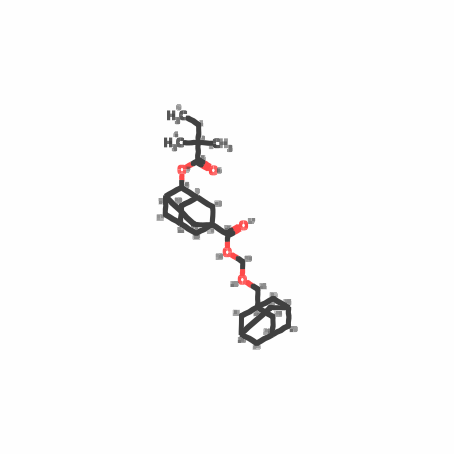 CCC(C)(C)C(=O)OC1C2CC3CC1CC(C(=O)OCOCC14CC5CC(CC(C5)C1)C4)(C3)C2